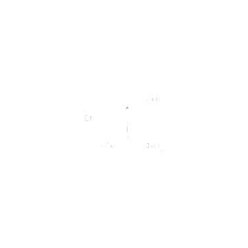 CCO[C@H](C)C(=N)N